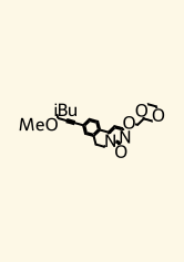 CCC(C)C(C#Cc1ccc2c(c1)CCn1c-2cc(OCC2COCCO2)nc1=O)OC